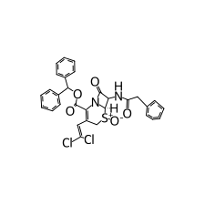 O=C(Cc1ccccc1)NC1C(=O)N2C(C(=O)OC(c3ccccc3)c3ccccc3)=C(C=C(Cl)Cl)C[S+]([O-])[C@H]12